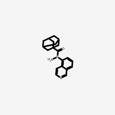 NN(C(=O)C12CC3CC(CC(C3)C1)C2)c1cccc2cnccc12